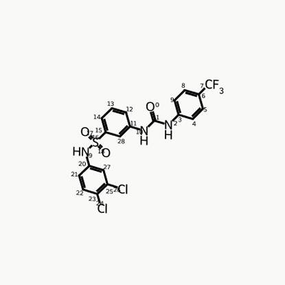 O=C(Nc1ccc(C(F)(F)F)cc1)Nc1cccc(S(=O)(=O)Nc2ccc(Cl)c(Cl)c2)c1